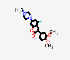 COc1ccc(-c2cc3c(F)cc(N4CCN(C)CC4)cc3oc2=O)cc1OC